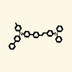 Cc1ccc(N(c2ccc(-c3ccccc3)cc2)c2ccc(-c3ccc(/C=C/c4ccc(N(c5ccccc5)c5ccccc5)cc4)cc3)cc2)cc1